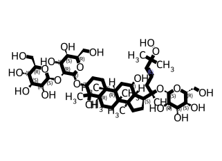 CC(C)(/C=C/C[C@](C)(O[C@@H]1O[C@H](CO)[C@@H](O)[C@H](O)[C@H]1O)[C@H]1CC[C@]2(C)[C@@H]1[C@H](O)C[C@@H]1[C@@]3(C)CC[C@H](O[C@@H]4O[C@H](CO)[C@@H](O)[C@H](O)[C@H]4O[C@@H]4O[C@H](CO)[C@@H](O)[C@H](O)[C@H]4O)C(C)(C)[C@@H]3CC[C@]12C)OO